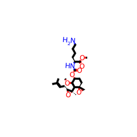 COC(=O)[C@H](CCCCN)NC(=O)OC1CC[C@]2(CO2)C([C@@]2(C)O[C@@H]2CC=C(C)C)C1OC